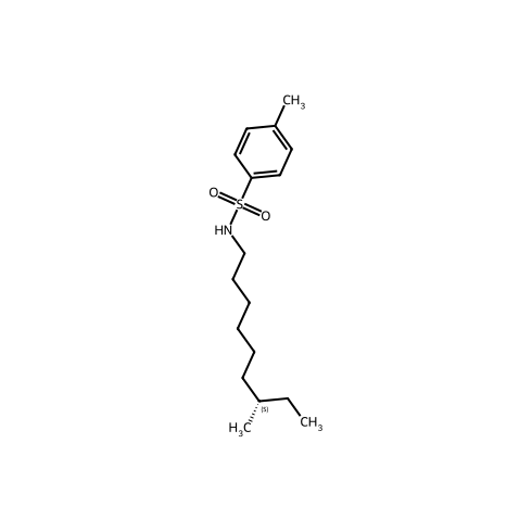 CC[C@H](C)CCCCCCNS(=O)(=O)c1ccc(C)cc1